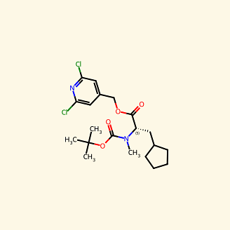 CN(C(=O)OC(C)(C)C)[C@@H](CC1CCCC1)C(=O)OCc1cc(Cl)nc(Cl)c1